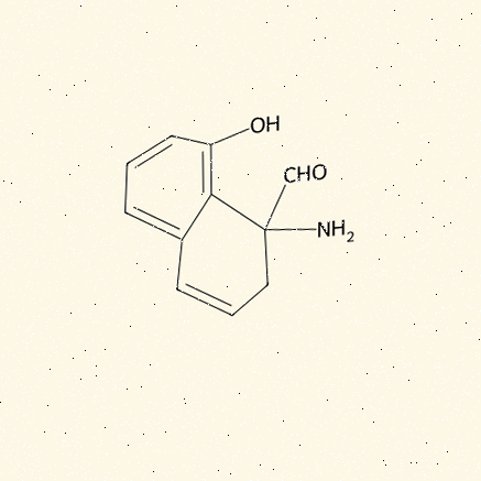 NC1(C=O)CC=Cc2cccc(O)c21